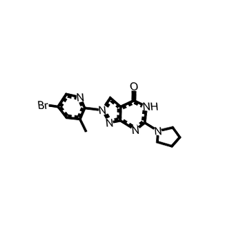 Cc1cc(Br)cnc1-n1cc2c(=O)[nH]c(N3CCCC3)nc2n1